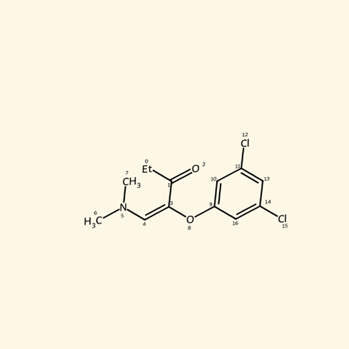 CCC(=O)C(=CN(C)C)Oc1cc(Cl)cc(Cl)c1